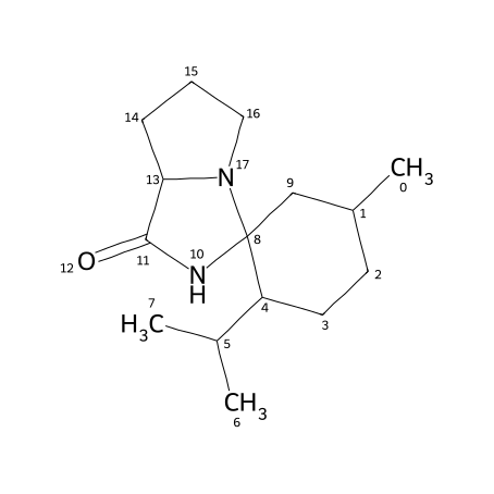 CC1CCC(C(C)C)C2(C1)NC(=O)C1CCCN12